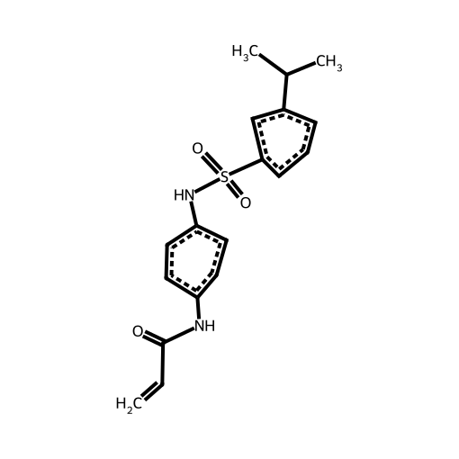 C=CC(=O)Nc1ccc(NS(=O)(=O)c2cccc(C(C)C)c2)cc1